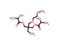 CCC(COCCOC)(COC(=O)C(C)O)COC(=O)C(C)O